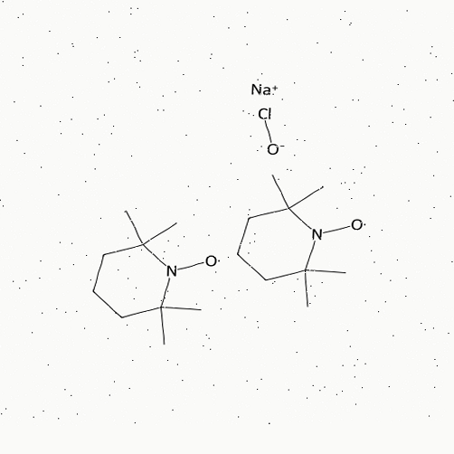 CC1(C)CCCC(C)(C)N1[O].CC1(C)CCCC(C)(C)N1[O].[Na+].[O-]Cl